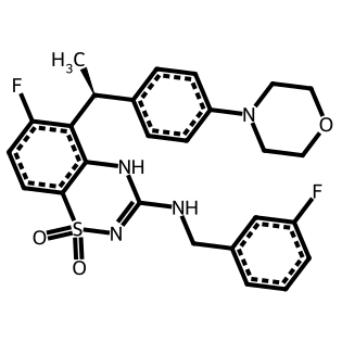 C[C@@H](c1ccc(N2CCOCC2)cc1)c1c(F)ccc2c1NC(NCc1cccc(F)c1)=NS2(=O)=O